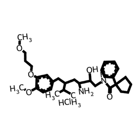 COCCCOc1cc(CC(CC(N)C(O)CNC(=O)C2(c3ccccc3)CCCC2)C(C)C)ccc1OC.Cl